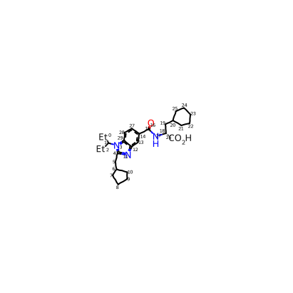 CCC(CC)n1c(CC2CCCC2)nc2cc(C(=O)N[C@H](CC3CCCCC3)C(=O)O)ccc21